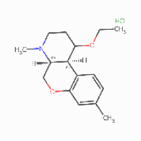 CCOC1CCN(C)[C@H]2COc3cc(C)ccc3[C@H]12.Cl